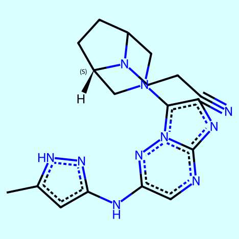 Cc1cc(Nc2cnc3ncc(N4CC5CC[C@@H](C4)N5CCC#N)n3n2)n[nH]1